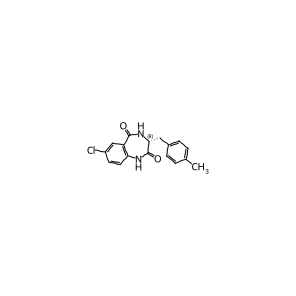 Cc1ccc(C[C@H]2NC(=O)c3cc(Cl)ccc3NC2=O)cc1